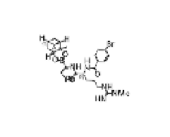 CNC(=N)NCCC[C@H](NC(=O)c1ccc(Br)cc1)C(=O)N[C@@H](CC(C)C)B1O[C@@H]2C[C@@H]3C[C@@H](C3(C)C)[C@]2(C)O1